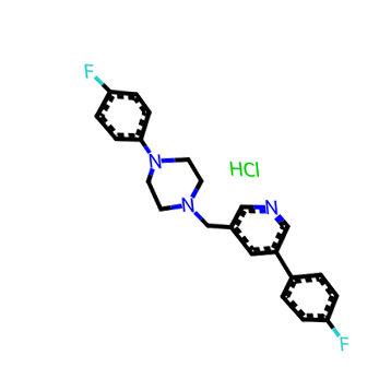 Cl.Fc1ccc(-c2cncc(CN3CCN(c4ccc(F)cc4)CC3)c2)cc1